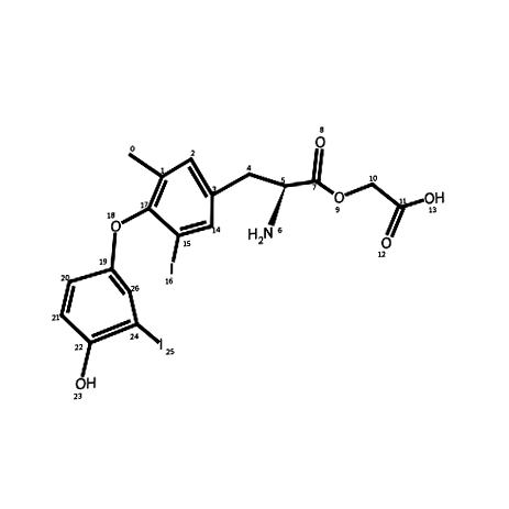 Cc1cc(C[C@H](N)C(=O)OCC(=O)O)cc(I)c1Oc1ccc(O)c(I)c1